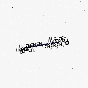 CC1=CC(OP(=O)(O)O)CC(C)(C)C1/C=C/C(C)=C/C=C/C(C)=C/C=C/C=C(C)/C=C/C=C(C)/C=C/C1=C(C)CC(OP(C)(=O)OCc2ccccc2)CC1(C)C